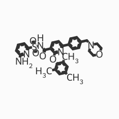 Cc1cc(C)c(Oc2nc(-c3ccc(CN4CCOCC4)cc3)ccc2C(=O)NS(=O)(=O)c2cccc(N)n2)c(C)c1